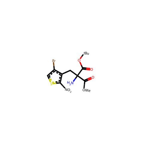 COC(=O)C(N)(Cc1c(Br)csc1[N+](=O)[O-])C(=O)OC(C)(C)C